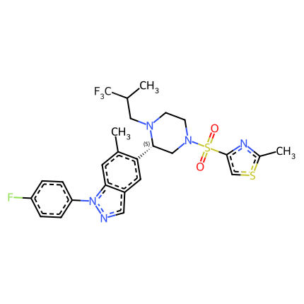 Cc1nc(S(=O)(=O)N2CCN(CC(C)C(F)(F)F)[C@@H](c3cc4cnn(-c5ccc(F)cc5)c4cc3C)C2)cs1